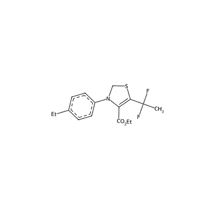 CCOC(=O)C1=C(C(C)(F)F)SCN1c1ccc(CC)cc1